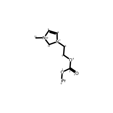 CC(C)OC(=O)OCCN1C=CN(C)C1